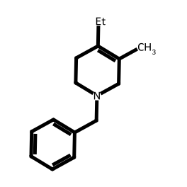 CCC1=C(C)CN(Cc2ccccc2)CC1